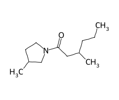 CCCC(C)CC(=O)N1CCC(C)C1